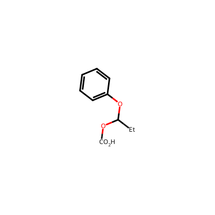 CCC(OC(=O)O)Oc1ccccc1